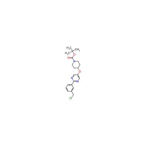 CC(C)(C)OC(=O)N1CCC(Oc2cnc(-c3cccc(CCl)c3)nc2)CC1